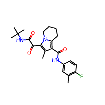 Cc1cc(NC(=O)c2c(C)c(C(=O)C(=O)NC(C)(C)C)n3c2CCCC3)ccc1F